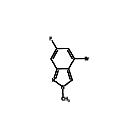 Cn1cc2c(Br)cc(F)cc2n1